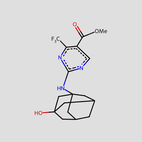 COC(=O)c1cnc(NC23CC4CC(CC(O)(C4)C2)C3)nc1C(F)(F)F